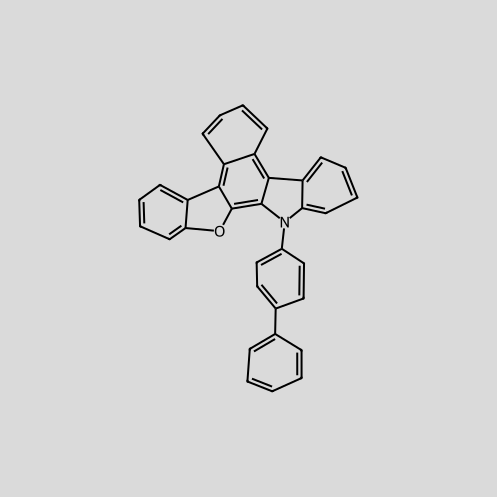 c1ccc(-c2ccc(-n3c4ccccc4c4c5ccccc5c5c6ccccc6oc5c43)cc2)cc1